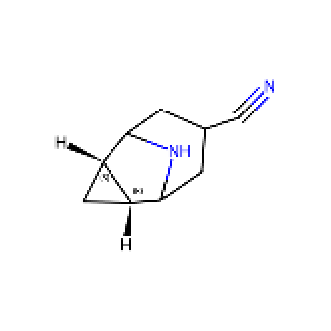 N#CC1CC2NC(C1)[C@@H]1C[C@H]21